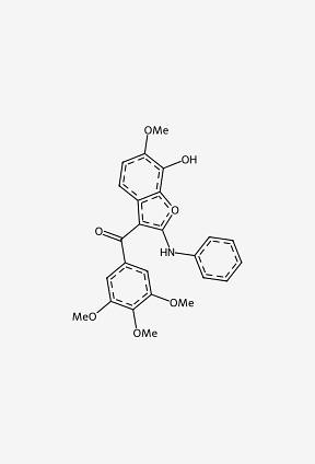 COc1cc(C(=O)c2c(Nc3ccccc3)oc3c(O)c(OC)ccc23)cc(OC)c1OC